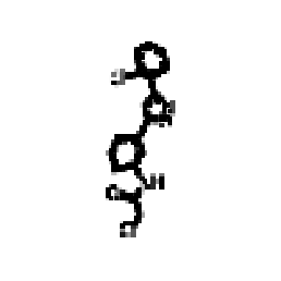 O=C(CCl)Nc1cccc(-c2cc(-c3ccccc3Cl)no2)c1